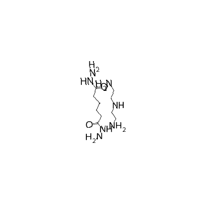 NCCNCCN.NNC(=O)CCCCC(=O)NN